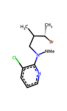 CNN(CC(C)[C@H](C)Br)c1ncccc1Cl